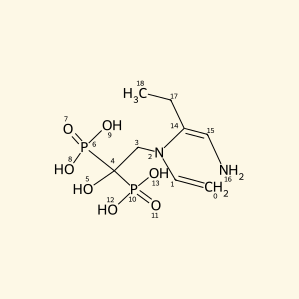 C=CN(CC(O)(P(=O)(O)O)P(=O)(O)O)/C(=C\N)CC